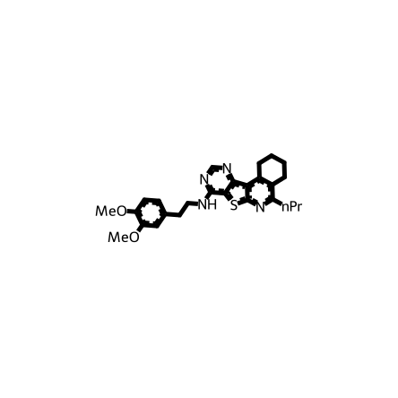 CCCc1nc2sc3c(NCCc4ccc(OC)c(OC)c4)ncnc3c2c2c1CCCC2